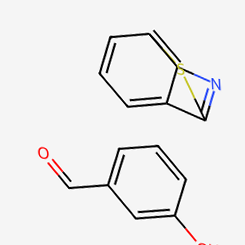 O=Cc1cccc(O)c1.c1cc2sc3nc2c3c1